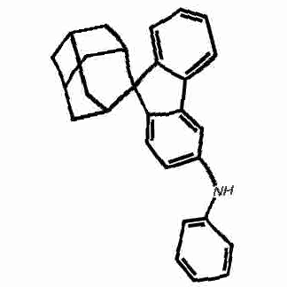 c1ccc(Nc2ccc3c(c2)-c2ccccc2C32C3CC4CC(C3)CC2C4)cc1